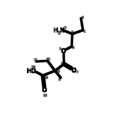 CCC(N)COC(=O)C(C)(CC)C(=O)O